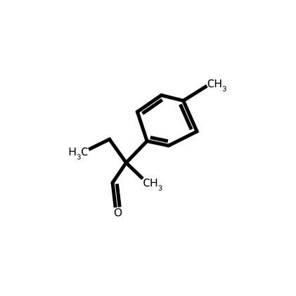 CCC(C)(C=O)c1ccc(C)cc1